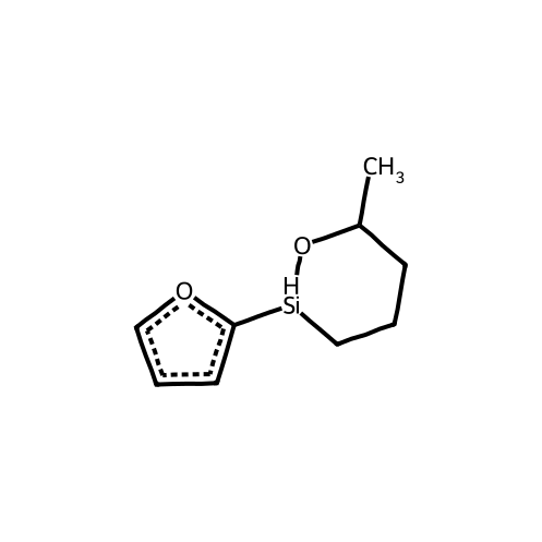 CC1CCC[SiH](c2ccco2)O1